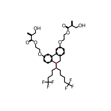 C=C(CO)C(=O)OCCOc1ccc(CCCCCCC(F)(F)F)c(-c2cc(OCCOC(=O)C(=C)CO)ccc2CCCCCCC(F)(F)F)c1